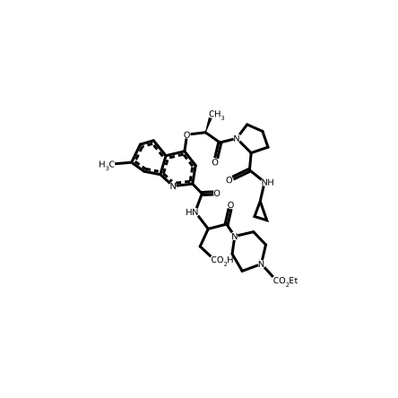 CCOC(=O)N1CCN(C(=O)C(CC(=O)O)NC(=O)c2cc(O[C@@H](C)C(=O)N3CCCC3C(=O)NC3CC3)c3ccc(C)cc3n2)CC1